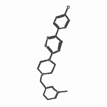 CN1CCCC(CN2CCN(c3ccc(-c4ccc(Cl)cc4)nn3)CC2)C1